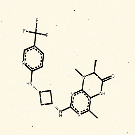 Cc1nc(N[C@H]2C[C@@H](Nc3ccc(C(F)(F)F)cn3)C2)nc2c1NC(=O)[C@H](C)N2C